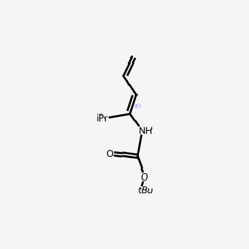 C=C/C=C(/NC(=O)OC(C)(C)C)C(C)C